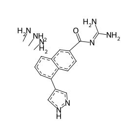 CN.CN.CN.NC(N)=NC(=O)c1ccc2c(-c3cn[nH]c3)cccc2c1